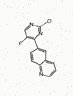 Fc1cnc(Cl)nc1-c1ccc2ncccc2c1